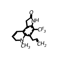 C=CCc1c2c(c3c(c1C(F)(F)F)NC(=O)C3)C=CCN2C